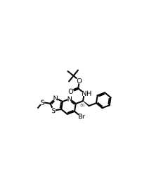 CSc1nc2nc([C@H](Cc3ccccc3)NC(=O)OC(C)(C)C)c(Br)cc2s1